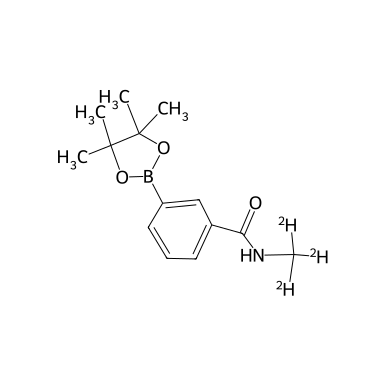 [2H]C([2H])([2H])NC(=O)c1cccc(B2OC(C)(C)C(C)(C)O2)c1